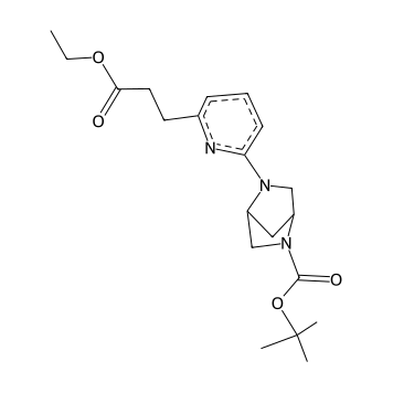 CCOC(=O)CCc1cccc(N2CC3CC2CN3C(=O)OC(C)(C)C)n1